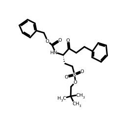 CC(C)(C)COS(=O)(=O)CC[C@H](NC(=O)OCc1ccccc1)C(=O)CCc1ccccc1